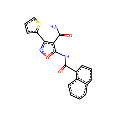 NC(=O)c1c(-c2cccs2)noc1NC(=O)c1cccc2ccccc12